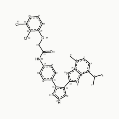 Cc1ccc(C(C)C)c2oc(-c3c[nH]nc3-c3ccc(NC(=O)COc4cccc(Cl)c4Cl)cc3)nc12